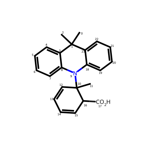 CC1(C)c2ccccc2N(C2(C)C=CC=CC2C(=O)O)c2ccccc21